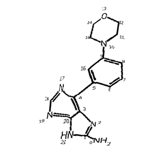 Nc1nc2c(-c3cccc(N4CCOCC4)c3)ncnc2[nH]1